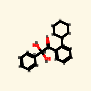 O=C(c1ccccc1C1CCCCC1)C(O)(O)c1ccccc1